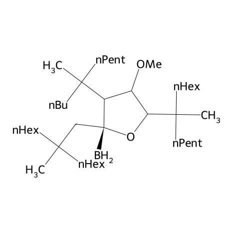 B[C@]1(CC(C)(CCCCCC)CCCCCC)OC(C(C)(CCCCC)CCCCCC)C(OC)C1C(C)(CCCC)CCCCC